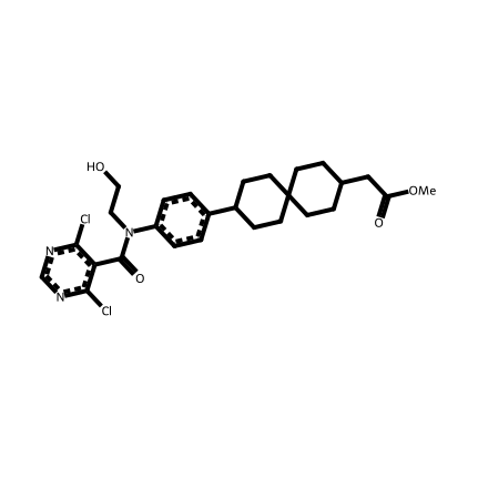 COC(=O)CC1CCC2(CC1)CCC(c1ccc(N(CCO)C(=O)c3c(Cl)ncnc3Cl)cc1)CC2